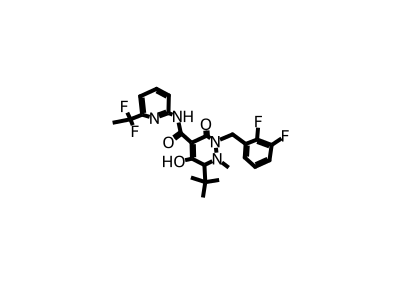 CN1C(C(C)(C)C)C(O)=C(C(=O)Nc2cccc(C(C)(F)F)n2)C(=O)N1Cc1cccc(F)c1F